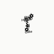 COc1ccc(-n2cc(CCC(=O)N[C@@H](Cc3coc4ccccc34)B(O)O)nn2)cc1